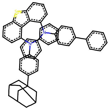 c1ccc(-c2ccc(N(c3ccccc3)c3cccc4sc5cccc(N(c6ccccc6)c6ccc(C78CC9CC(CC(C9)C7)C8)cc6)c5c34)cc2)cc1